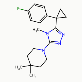 Cn1c(N2CCC(C)(C)CC2)nnc1C1(c2ccc(F)cc2)CC1